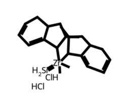 CC1CC2CC=CC=C2[CH]1[Zr]([CH3])([CH3])(=[SiH2])[CH]1C2=CC=CCC2CC1C.Cl.Cl